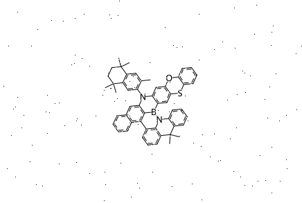 Cc1cc2c(cc1N1c3cc4c(cc3B3c5c1cc1ccccc1c5-c1cccc5c1N3c1ccccc1C5(C)C)Sc1ccccc1O4)C(C)(C)CCC2(C)C